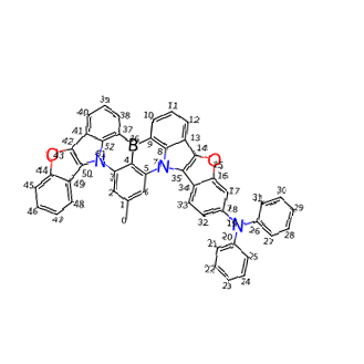 Cc1cc2c3c(c1)-n1c4c(cccc4c4oc5cc(N(c6ccccc6)c6ccccc6)ccc5c41)B3c1cccc3c4oc5ccccc5c4n-2c13